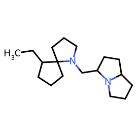 CCC1CCCC12CCCN2CC1CCC2CCCN21